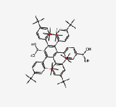 CC(C)(C)c1ccc(-c2c(-c3ccc(P(O)O)cc3)c(-c3ccc(C(C)(C)C)cc3C(C)(C)C)c(-c3ccc(C(C)(C)C)cc3C(C)(C)C)c(P(O)O)c2-c2ccc(C(C)(C)C)cc2C(C)(C)C)c(C(C)(C)C)c1